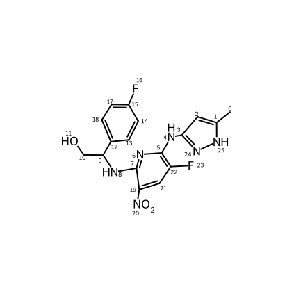 Cc1cc(Nc2nc(NC(CO)c3ccc(F)cc3)c([N+](=O)[O-])cc2F)n[nH]1